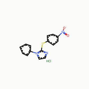 Cl.O=[N+]([O-])c1ccc(Sc2nccn2-c2ccccc2)cc1